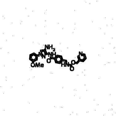 COc1cccc(-n2cc(N)c(NC(=O)c3ccc(CNC(=O)OCc4cccnc4)cc3)n2)c1